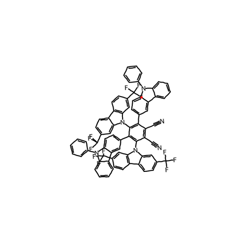 N#Cc1c(C#N)c(-n2c3cc(C(F)(F)F)ccc3c3ccc(C(F)(F)F)cc32)c(-c2ccc3c(c2)c2ccccc2n3-c2ccccc2)c(-n2c3cc(C(F)(F)F)ccc3c3ccc(C(F)(F)F)cc32)c1-c1ccc2c(c1)c1ccccc1n2-c1ccccc1